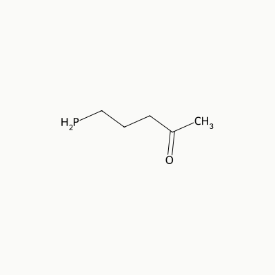 CC(=O)CCCP